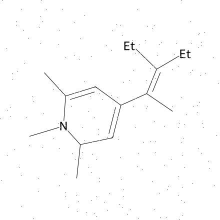 CCC(CC)=C(C)C1=CC(C)N(C)C(C)=C1